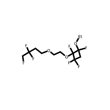 CCOC1(F)CC(F)(F)C1(F)OCCOCCC(F)(F)CF